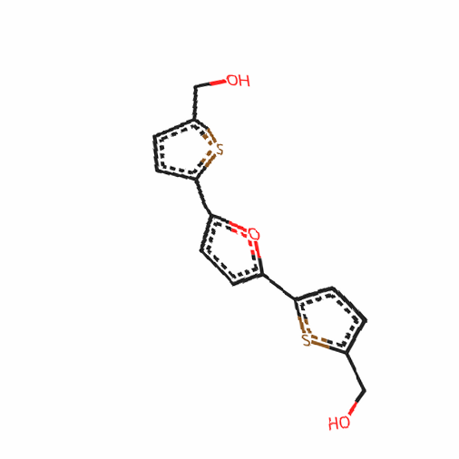 OCc1ccc(-c2ccc(-c3ccc(CO)s3)o2)s1